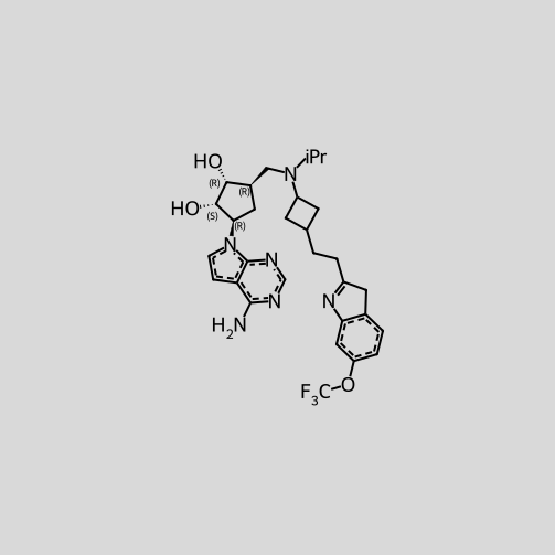 CC(C)N(C[C@H]1C[C@@H](n2ccc3c(N)ncnc32)[C@H](O)[C@@H]1O)C1CC(CCC2=Nc3cc(OC(F)(F)F)ccc3C2)C1